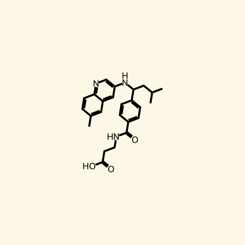 Cc1ccc2ncc(NC(CC(C)C)c3ccc(C(=O)NCCC(=O)O)cc3)cc2c1